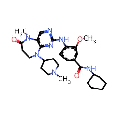 COc1cc(C(=O)NC2CCCCC2)ccc1Nc1ncc2c(n1)N(C1CCN(C)CC1)CCC(=O)N2C